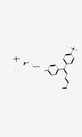 CC(C)(C)OC(=O)NCCOc1ccc(/C(=C\C=C\C(=O)O)c2ccc(C(F)(F)F)cc2)cc1